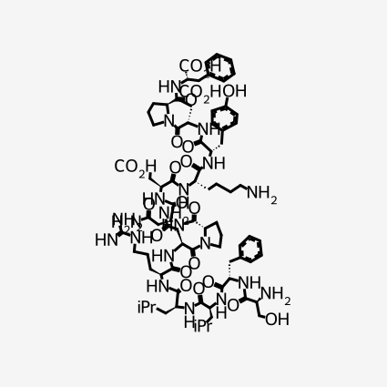 CC(C)C[C@H](NC(=O)[C@H](CC(C)C)NC(=O)[C@H](Cc1ccccc1)NC(=O)[C@@H](N)CO)C(=O)N[C@@H](CCCNC(=N)N)C(=O)N[C@@H](CC(N)=O)C(=O)N1CCC[C@H]1C(=O)N[C@@H](CC(N)=O)C(=O)N[C@@H](CC(=O)O)C(=O)N[C@@H](CCCCN)C(=O)N[C@@H](Cc1ccc(O)cc1)C(=O)N[C@@H](CCC(=O)O)C(=O)N1CCC[C@H]1C(=O)N[C@@H](Cc1ccccc1)C(=O)O